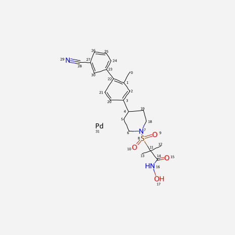 Cc1cc(C2CCN(S(=O)(=O)C(C)(C)C(=O)NO)CC2)ccc1-c1cccc(C#N)c1.[Pd]